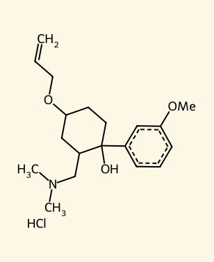 C=CCOC1CCC(O)(c2cccc(OC)c2)C(CN(C)C)C1.Cl